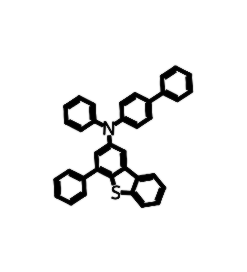 c1ccc(-c2ccc(N(c3ccccc3)c3cc(-c4ccccc4)c4sc5ccccc5c4c3)cc2)cc1